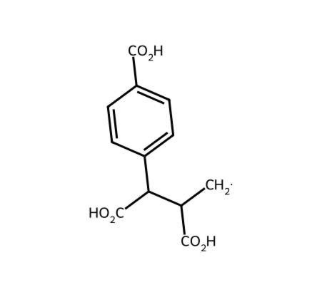 [CH2]C(C(=O)O)C(C(=O)O)c1ccc(C(=O)O)cc1